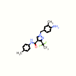 Cc1ccc(NC(=O)c2cn(Cc3ccc(N)c(C)c3)nc2C(F)(F)C(F)(F)F)cc1